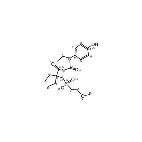 CCN(C(=O)N1C(=O)C(CC)(CC)C1S(=O)(=O)CCOC)c1ccc(O)cc1